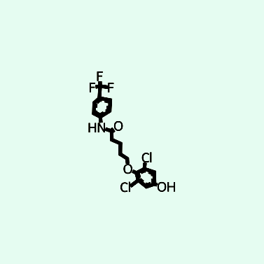 O=C(CCCCOc1c(Cl)cc(O)cc1Cl)Nc1ccc(C(F)(F)F)cc1